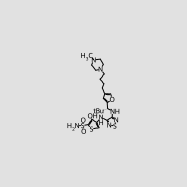 CN1CCN(CCCCc2coc([C@H](Nc3nsnc3Nc3csc(S(N)(=O)=O)c3O)C(C)(C)C)c2)CC1